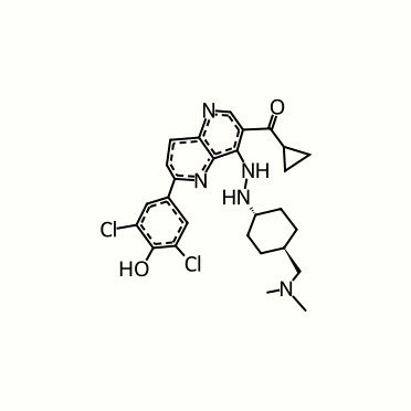 CN(C)C[C@H]1CC[C@H](NNc2c(C(=O)C3CC3)cnc3ccc(-c4cc(Cl)c(O)c(Cl)c4)nc23)CC1